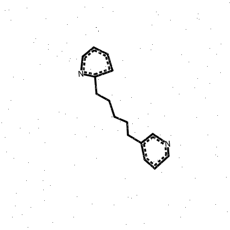 [CH](CCc1cccnc1)CCc1ccccn1